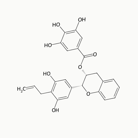 C=CCc1c(O)cc([C@H]2Oc3ccccc3C[C@H]2OC(=O)c2cc(O)c(O)c(O)c2)cc1O